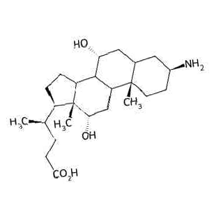 C[C@H](CCC(=O)O)[C@H]1CCC2C3C(C[C@H](O)[C@@]21C)[C@@]1(C)CC[C@H](N)CC1C[C@H]3O